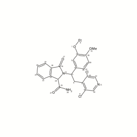 CCOc1cc(C(Cc2c(Cl)cncc2Cl)N2C(=O)c3[c]cccc3C2C(N)=O)ccc1OC